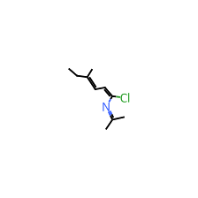 CC/C(C)=C/C=C(/Cl)N=C(C)C